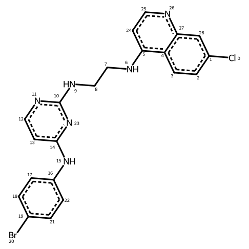 Clc1ccc2c(NCCNc3nccc(Nc4ccc(Br)cc4)n3)ccnc2c1